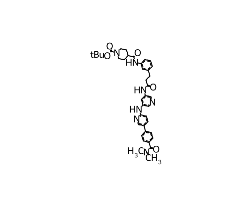 CN(C)C(=O)c1ccc(-c2ccc(Nc3cncc(NC(=O)CCc4cccc(NC(=O)C5CCN(C(=O)OC(C)(C)C)CC5)c4)c3)nc2)cc1